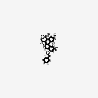 Fc1cc(OCc2ccccc2)c2cnc(C3CCOCC3)c(-c3ccc(F)c(F)c3)c2c1